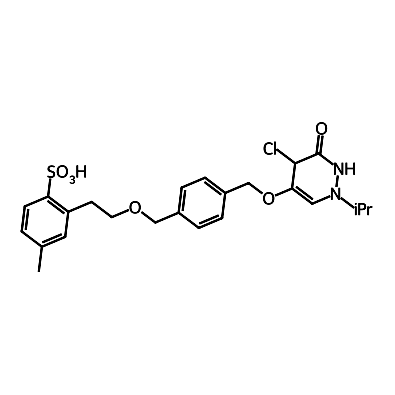 Cc1ccc(S(=O)(=O)O)c(CCOCc2ccc(COC3=CN(C(C)C)NC(=O)C3Cl)cc2)c1